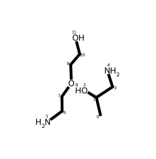 CC(O)CN.NCCOCCO